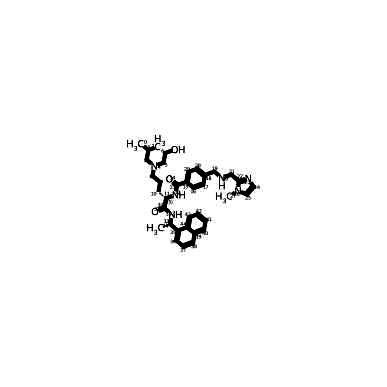 CC(C)CN(CCO)CCC[C@H](NC(=O)c1ccc(CNCc2nccn2C)cc1)C(=O)N[C@@H](C)c1cccc2ccccc12